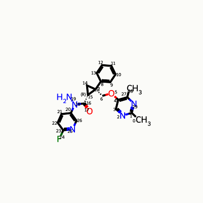 Cc1ncc(OC[C@@]2(c3ccccc3)C[C@H]2C(=O)N(N)c2ccc(F)nc2)c(C)n1